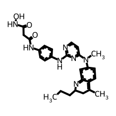 CCCC1CC(C)=c2ccc(N(C)c3ccnc(Nc4ccc(NC(=O)CC(=O)NO)cc4)n3)cc2=N1